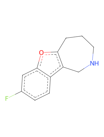 Fc1ccc2c3c(oc2c1)CCCNC3